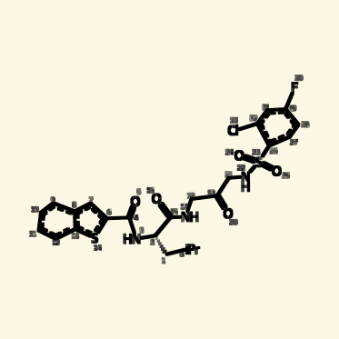 CC(C)C[C@H](NC(=O)c1cc2ccccc2s1)C(=O)NCC(=O)CNS(=O)(=O)c1ccc(F)cc1Cl